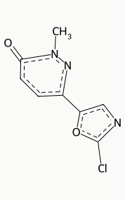 Cn1nc(-c2cnc(Cl)o2)ccc1=O